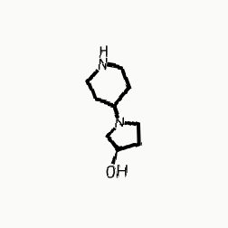 O[C@@H]1CCN(C2CCNCC2)C1